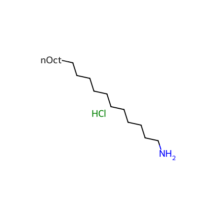 CCCCCCCCCCCCCCCCCCCN.Cl